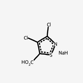 O=C(O)c1snc(Cl)c1Cl.[NaH]